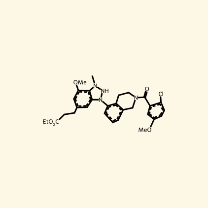 CCOC(=O)CCc1cc(OC)c2c(c1)N(c1cccc3c1CCN(C(=O)c1cc(OC)ccc1Cl)C3)NN2C